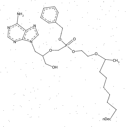 CCCCCCCCCCCCCCCCC(C)OCCOP(=O)(COC(CO)Cn1cnc2c(N)ncnc21)OCc1ccccc1